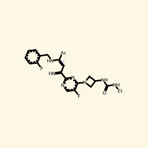 CCNC(=O)NC1CN(c2nc(C(=N)/C=C(\NCc3ccccc3F)C(C)=O)ncc2F)C1